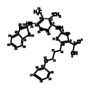 Cc1c(Nc2nc(C(=O)O)c(CCCOc3ccccc3)s2)nnc(Nc2nc3ccccc3s2)c1C